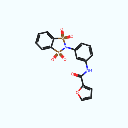 O=C(Nc1cccc(N2S(=O)(=O)c3ccccc3S2(=O)=O)c1)c1ccco1